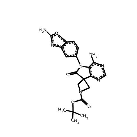 CC(C)(C)OC(=O)N1CC2(C1)C(=O)N(c1ccc3oc(N)nc3c1)c1c(N)ncnc12